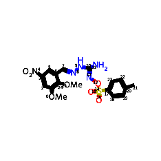 COc1cc([N+](=O)[O-])cc(C=NNC(N)=NOS(=O)(=O)c2ccc(C)cc2)c1OC